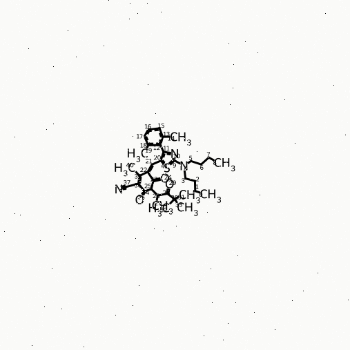 CCCCN(CCCC)c1nc(-c2c(C)cccc2C)c(/C=C2\C(=O)C(C(C)C(=O)C(C)(C)C)C(=O)C(C#N)=C2C)s1